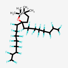 C[Si]1(C)CCC(C(F)C(F)(F)C(F)(F)C(F)(F)C(F)(F)C(F)C(F)C(F)F)(C(F)C(F)(F)C(F)(F)C(F)(F)C(F)(F)C(F)C(F)C(F)F)O[Si]1(C)C